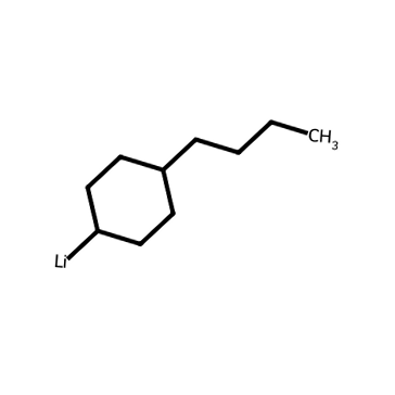 [Li][CH]1CCC(CCCC)CC1